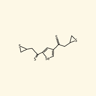 S=C(CC1CS1)c1c[se]c(C(=S)CC2CS2)c1